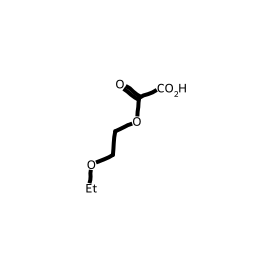 CCOCCOC(=O)C(=O)O